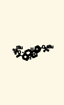 CC(O[Si](C)(C)C(C)(C)C)[C@H]1CC[C@H]2[C@@H]3CC[C@@]45C[C@@H](O[Si](C)(C)C(C)(C)C)CC[C@@]4(O5)[C@H]3CC[C@]12C